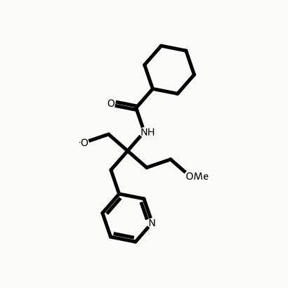 COCCC(C[O])(Cc1cccnc1)NC(=O)C1CCCCC1